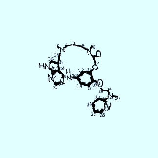 CN1CCCN(C)C(=O)COc2cc(ccc2OCCN(C)c2ccccn2)Nc2ncnc3c2C(CN3)C1